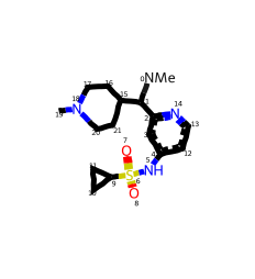 CNC(c1cc(NS(=O)(=O)C2CC2)ccn1)C1CCN(C)CC1